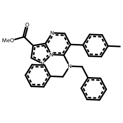 COC(=O)c1cnn2c(N(Cc3ccccc3)Cc3ccccc3)c(-c3ccc(C)cc3)cnc12